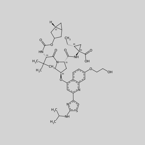 CC[C@@H]1C[C@]1(NC(=O)[C@@H]1C[C@@H](Oc2cc(-c3csc(NC(C)C)n3)nc3cc(OCCO)ccc23)CN1C(=O)[C@@H](NC(=O)OC1CC2C[C@H]2C1)C(C)(C)C)C(=O)O